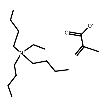 C=C(C)C(=O)[O-].CCCC[N+](CC)(CCCC)CCCC